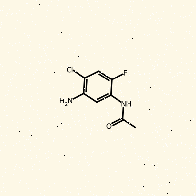 CC(=O)Nc1cc(N)c(Cl)cc1F